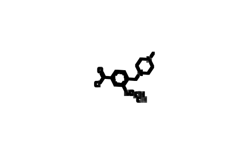 CN1CCN(Cc2ccc(C(=O)Cl)cc2[N+](=O)[O-])CC1.Cl.Cl